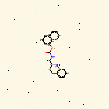 O=C(NCC1CCc2ccccc2N1)Oc1cccc2ccccc12